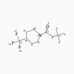 CC(C)(C)[CH]C(=O)N1CCC(C(F)(F)F)CC1